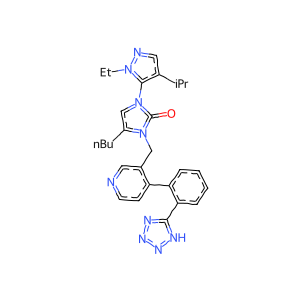 CCCCc1cn(-c2c(C(C)C)cnn2CC)c(=O)n1Cc1cnccc1-c1ccccc1-c1nnn[nH]1